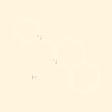 Cl.c1ccc2nc(-n3cccc3)ccc2c1